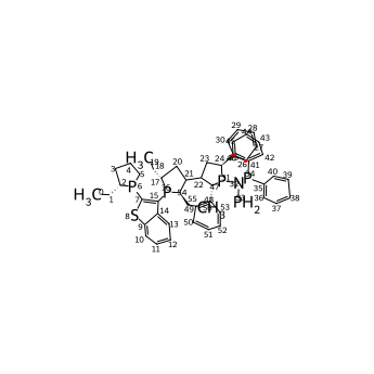 CC[C@@H]1CCCP1c1sc2ccccc2c1P1[C@H](CC)CC(C2C[C@@H](c3ccccc3)P(N(P)P(c3ccccc3)c3ccccc3)[C@@H]2c2ccccc2)[C@H]1CC